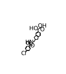 O=C(O)C(O)c1ccc2c(c1)CC(CNS(=O)(=O)c1ccc(Cl)cc1)C2